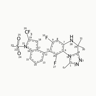 Cc1nnc2n1-c1c(cc(F)c(-c3cccc4c3cc(C(F)(F)F)n4S(C)(=O)=O)c1F)NC2(C)C